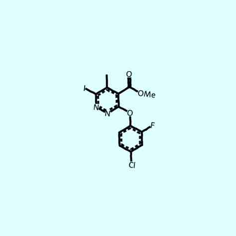 COC(=O)c1c(Oc2ccc(Cl)cc2F)nnc(I)c1C